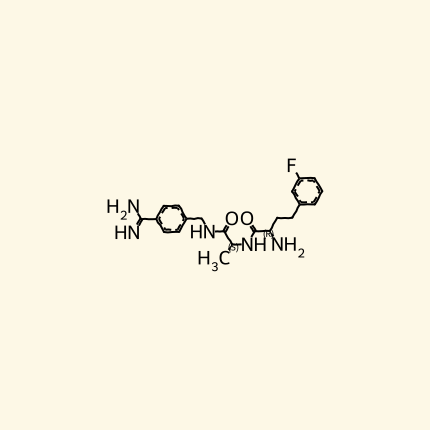 C[C@H](NC(=O)[C@H](N)CCc1cccc(F)c1)C(=O)NCc1ccc(C(=N)N)cc1